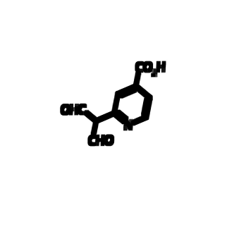 O=CC(C=O)c1cc(C(=O)O)ccn1